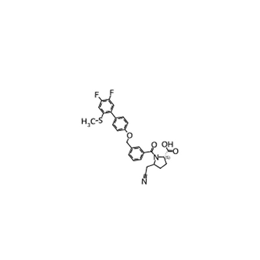 CSc1cc(F)c(F)cc1-c1ccc(OCc2cccc(C(=O)N3C(CC#N)CC[C@H]3C(=O)O)c2)cc1